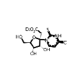 CCOC(=O)C[C@@]1(n2ccc(=O)[nH]c2=S)O[C@H](CO)[C@@H](O)[C@H]1O